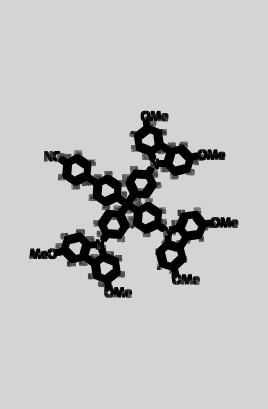 COc1ccc2c(c1)c1cc(OC)ccc1n2-c1ccc(C(c2ccc(-c3ccc(C#N)cc3)cc2)(c2ccc(-n3c4ccc(OC)cc4c4cc(OC)ccc43)cc2)c2ccc(-n3c4ccc(OC)cc4c4cc(OC)ccc43)cc2)cc1